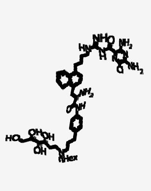 CCCCCCN(CCCc1ccc(NC(=O)[C@@H](N)Cc2ccc(CCCCNC(=N)NC(=O)c3nc(Cl)c(N)nc3N)c3ccccc23)cc1)CC[C@@H](O)[C@H](O)[C@H](O)CO